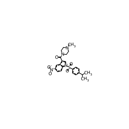 CC(C)c1ccc(S(=O)(=O)n2cc(C(=O)N3CCN(C)CC3)c3cc([N+](=O)[O-])ccc32)cc1